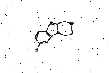 Clc1ccc2nc3n(c2c1)CCNC3